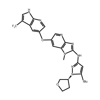 Cn1c(Nc2cc(C(C)(C)C)n([C@H]3CCOC3)n2)nc2ncc(Oc3cnc4[nH]cc(C(F)(F)F)c4c3)cc21